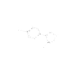 Nc1oncc1-c1ccc(Br)cc1